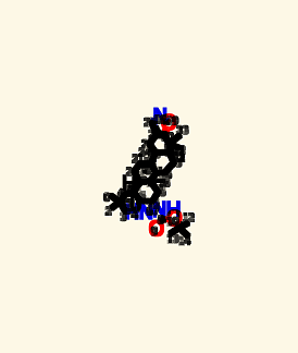 CC1(C)CC[C@]2(NNC(=O)OC(C)(C)C)CC[C@]3(C)[C@H](CC=C4[C@@]5(C)Cc6cnoc6C(C)(C)[C@@H]5CC[C@]43C)[C@@H]2C1